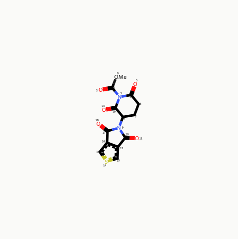 COC(=O)N1C(=O)CCC(N2C(=O)c3cscc3C2=O)C1=O